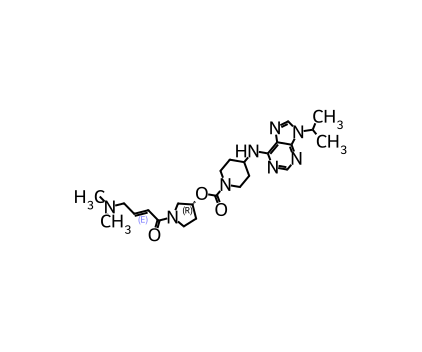 CC(C)n1cnc2c(NC3CCN(C(=O)O[C@@H]4CCN(C(=O)/C=C/CN(C)C)C4)CC3)ncnc21